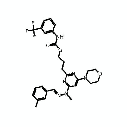 Cc1cccc(C=NN(C)c2cc(N3CCOCC3)nc(CCCOC(=O)Nc3cccc(C(F)(F)F)c3)n2)c1